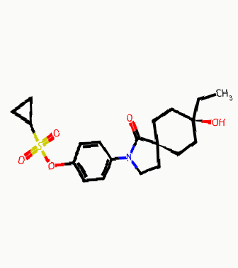 CC[C@]1(O)CC[C@]2(CCN(c3ccc(OS(=O)(=O)C4CC4)cc3)C2=O)CC1